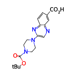 CC(C)(C)OC(=O)N1CCN(c2cnc3cc(C(=O)O)ccc3n2)CC1